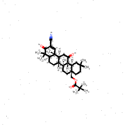 CC1(C)CC[C@]2(COC(=O)C(C)(C)C)CC[C@]3(C)[C@H](C(=O)C[C@@H]4[C@@]5(C)C=C(C#N)C(=O)C(C)(C)[C@@H]5CC[C@]43C)[C@H]2C1